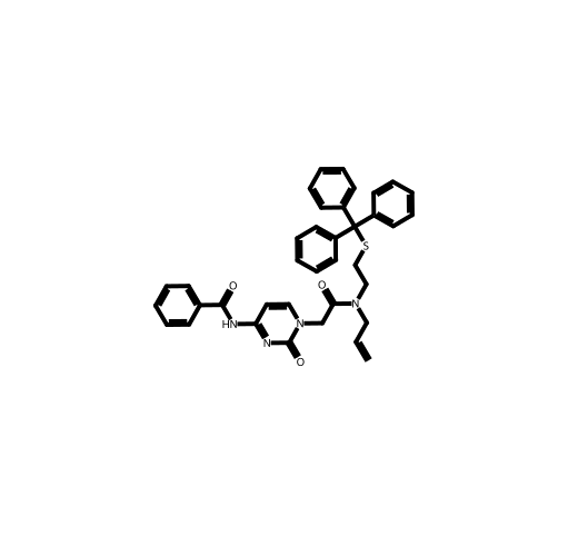 C=CCN(CCSC(c1ccccc1)(c1ccccc1)c1ccccc1)C(=O)Cn1ccc(NC(=O)c2ccccc2)nc1=O